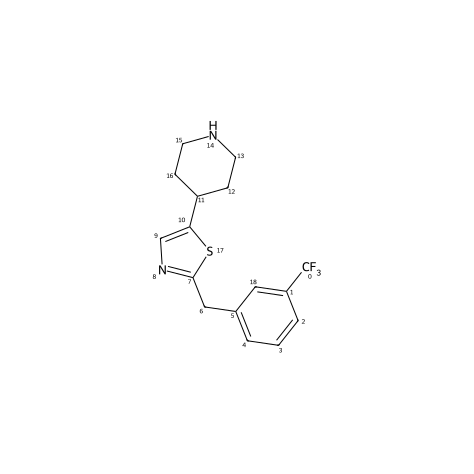 FC(F)(F)c1cccc(Cc2ncc(C3CCNCC3)s2)c1